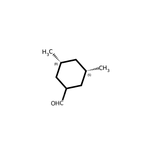 C[C@@H]1CC(C=O)C[C@H](C)C1